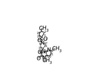 Cc1ccc(S(=O)(=O)N2CCC(n3c(=O)c(=O)n(C)c4ccc(C)nc43)CC2)cc1